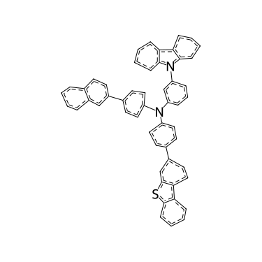 c1cc(N(c2ccc(-c3ccc4ccccc4c3)cc2)c2ccc(-c3ccc4c(c3)sc3ccccc34)cc2)cc(-n2c3ccccc3c3ccccc32)c1